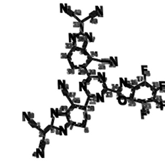 N#CC(C#N)=C1N=c2ccc(-c3nc(-c4nc5c(F)c(F)c(F)c(F)c5o4)nc(-c4ccc5c(c4C#N)=NC(=C(C#N)C#N)N=5)n3)c(C#N)c2=N1